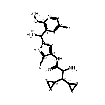 COc1ncc(F)cc1C(C)n1cc(NC(=O)C(N)C(C2CC2)C2CC2)c(F)n1